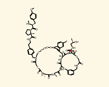 CN[C@@H](Cc1ccc(OC)cc1)C(=O)N1CCC[C@@]1(C)C(=O)NCCc1ccc(CN2CCCCCCn3cc(c4cc(F)ccc43)C[C@@H]3NC(=O)[C@H](Cc4cccc(c4)CNC(=O)CO[C@H]4CCN(C3=O)[C@H]4C(=O)NC[C@@H](C)O)NC(=O)[C@@H](C)NC(=O)[C@H](C)NC(=O)CCC2=O)cc1